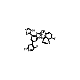 Cc1nc2c(-c3nnc[nH]3)cc(-c3cc(F)ncc3F)cc2n1-c1ccnc2c(F)ccc(F)c12